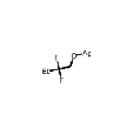 CCC(F)(F)COC(C)=O